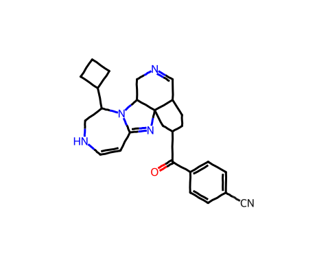 N#Cc1ccc(C(=O)C2CCC3C=NCC4N5C(=NC34C2)C=CNCC5C2CCC2)cc1